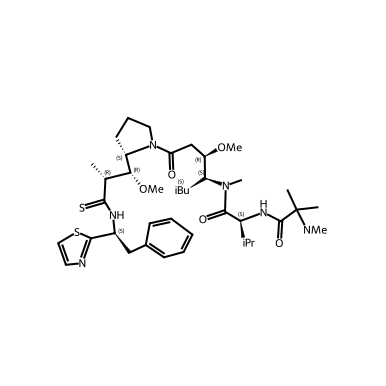 CC[C@H](C)[C@@H]([C@@H](CC(=O)N1CCC[C@H]1[C@H](OC)[C@@H](C)C(=S)N[C@@H](Cc1ccccc1)c1nccs1)OC)N(C)C(=O)[C@@H](NC(=O)C(C)(C)NC)C(C)C